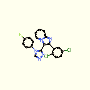 Fc1ccc(-n2cnnc2-c2c(-c3cc(Cl)ccc3Cl)nc3ccccn23)cc1